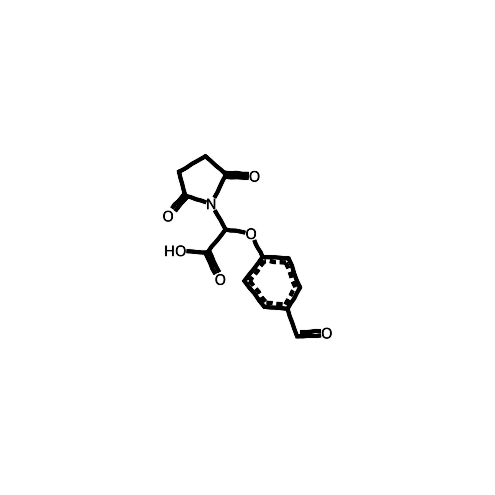 O=Cc1ccc(OC(C(=O)O)N2C(=O)CCC2=O)cc1